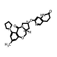 Cc1cc2c(c(N3CCCC3)c1)C(=O)N1C[C@@H](Oc3cc4c(cn3)CCC(=O)N4)C[C@@H]1CO2